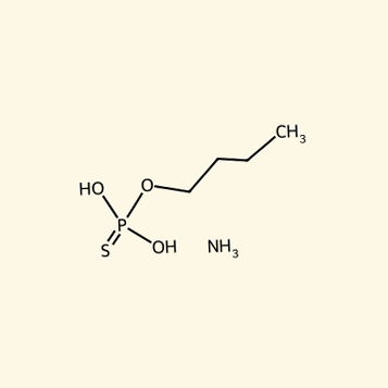 CCCCOP(O)(O)=S.N